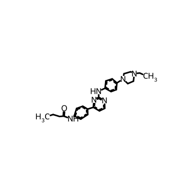 CCCC(=O)Nc1ccc(-c2ccnc(Nc3ccc(N4CCN(CC)CC4)cc3)n2)cc1